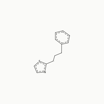 [CH](CCc1ccccc1)c1nccs1